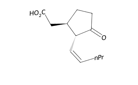 CCC/C=C\[C@H]1C(=O)CC[C@@H]1CC(=O)O